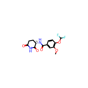 COc1cc(C(=O)N[C@H]2CCC(=O)NC2=O)ccc1OC(F)F